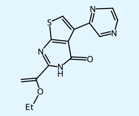 C=C(OCC)c1nc2scc(-c3cnccn3)c2c(=O)[nH]1